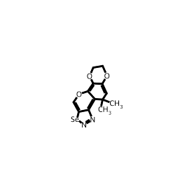 CC1(C)C=C2OCCOC2=C2OC=c3[se]nnc3=C21